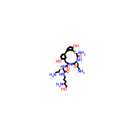 NCCC[C@H](NC(=O)[C@@H]1Cc2cc(ccc2O)-c2ccc(O)c(c2)C[C@H](N)C(=O)N[C@@H](CCCN)C(=O)N1)C(=O)NCCC[C@H](N)CO